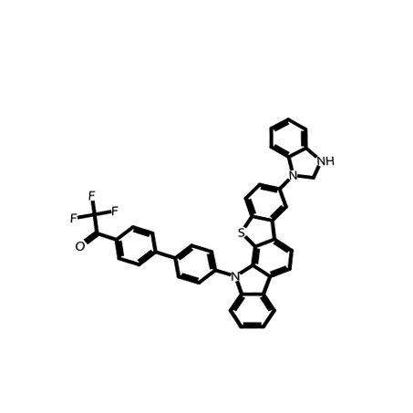 O=C(c1ccc(-c2ccc(-n3c4ccccc4c4ccc5c6cc(N7CNc8ccccc87)ccc6sc5c43)cc2)cc1)C(F)(F)F